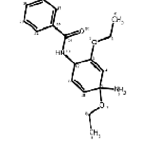 CCOC1=CC(N)(OCC)C=CC1NC(=O)c1ccccc1